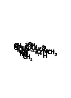 CCNC(=O)c1cccc(-c2ccc3c(c2)CN(c2nc(C)nc4cc(OC)ccc24)CCO3)c1